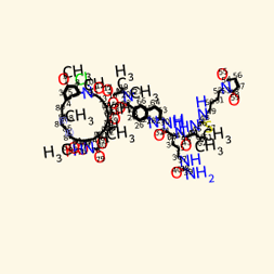 COc1cc2cc(c1Cl)N(C)C(=O)C[C@H](OC(=O)[C@H](C)N(C)C(=O)c1ccc3nc(NC(=O)[C@H](CCCNC(N)=O)NC(=O)[C@@H](NC(=S)NCCCCN4C(=O)C=CC4=O)C(C)C)ccc3c1)[C@]1(C)O[C@H]1[C@H](C)[C@@H]1C[C@@](O)(NC(=O)O1)[C@H](OC)/C=C/C=C(\C)C2